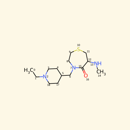 CCN1CCC(CN2CCSCC(NC)C2=O)CC1